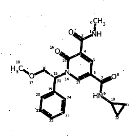 CNC(=O)c1cc(C(=O)NC2CC2)cn([C@H](COC)c2ccccc2)c1=O